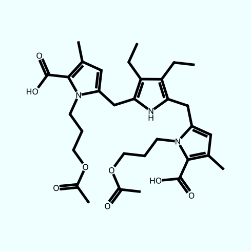 CCc1c(Cc2cc(C)c(C(=O)O)n2CCCOC(C)=O)[nH]c(Cc2cc(C)c(C(=O)O)n2CCCOC(C)=O)c1CC